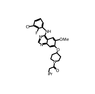 COc1cc2c(Nc3cccc(Cl)c3F)ncnc2cc1OC1CCN(C(=O)CC(C)C)CC1